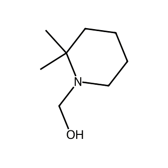 CC1(C)CCCCN1CO